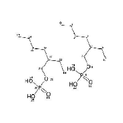 CCCCC(CC)COP(=O)(O)O.CCCCC(CC)COP(=O)(O)O